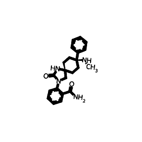 CN[C@]1(c2ccccc2)CC[C@@]2(CC1)CN(c1ccccc1C(N)=O)C(=O)N2